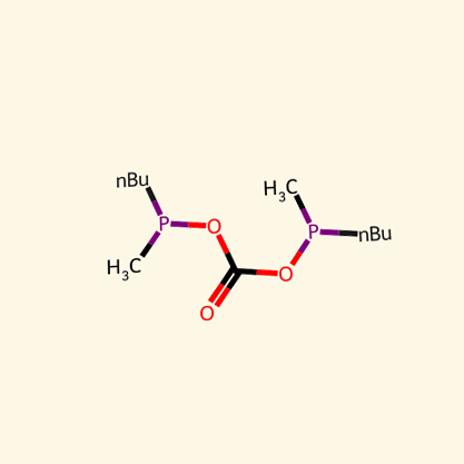 CCCCP(C)OC(=O)OP(C)CCCC